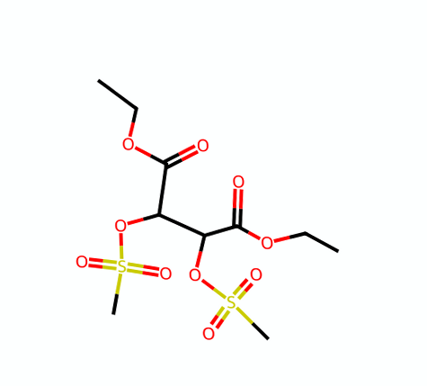 CCOC(=O)C(OS(C)(=O)=O)C(OS(C)(=O)=O)C(=O)OCC